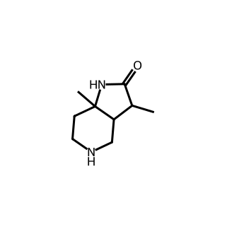 CC1C(=O)NC2(C)CCNCC12